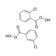 O=C(OO)c1cccc(Cl)c1.O=C(OO)c1ccccc1Cl